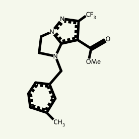 COC(=O)c1c(C(F)(F)F)nn2c1N(Cc1cccc(C)c1)CC2